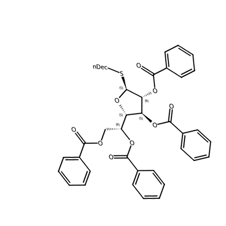 CCCCCCCCCCS[C@@H]1O[C@@H]([C@@H](COC(=O)c2ccccc2)OC(=O)c2ccccc2)[C@H](OC(=O)c2ccccc2)[C@H]1OC(=O)c1ccccc1